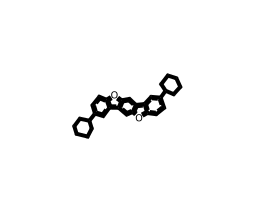 c1cc2oc3cc4c(cc3c2cc1C1CCCCC1)oc1ccc(C2CCCCC2)cc14